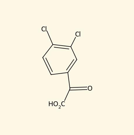 O=C(O)C(=O)c1ccc(Cl)c(Cl)c1